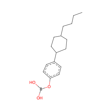 CCCCC1CCC(c2ccc(OB(O)O)cc2)CC1